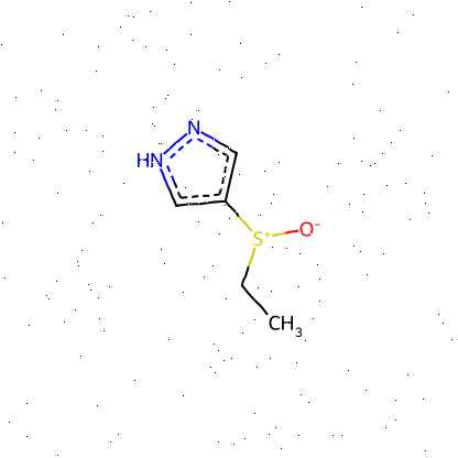 CC[S+]([O-])c1cn[nH]c1